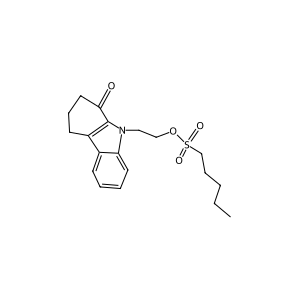 CCCCCS(=O)(=O)OCCn1c2c(c3ccccc31)CCCC2=O